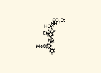 CCOC(=O)CNCC(O)COc1c(C)cc(-c2noc(-c3cc(OC)nc(C4CCCC4)c3)n2)cc1CC